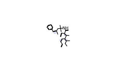 C=C\C=C/C(=C(/C)CC)C(/C)=C(\C=C)C(=C)NC(C)(C)C/C(C)=C\c1ccccc1